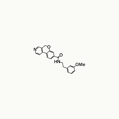 COc1cccc(CCNC(=O)c2ccc3c(c2)OCc2cnccc2-3)c1